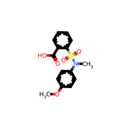 COc1ccc(N(C)S(=O)(=O)c2ccccc2C(=O)O)cc1